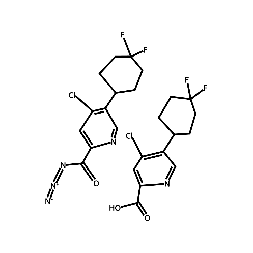 O=C(O)c1cc(Cl)c(C2CCC(F)(F)CC2)cn1.[N-]=[N+]=NC(=O)c1cc(Cl)c(C2CCC(F)(F)CC2)cn1